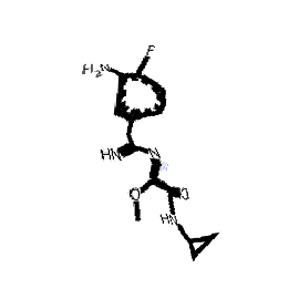 CO/C(=N\C(=N)c1ccc(F)c(N)c1)C(=O)NC1CC1